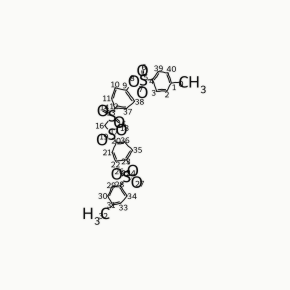 Cc1ccc(S(=O)(=O)Oc2ccc(S(=O)(=O)CS(=O)(=O)c3ccc(OS(=O)(=O)c4ccc(C)cc4)cc3)cc2)cc1